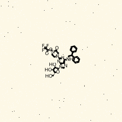 O=C1CN(c2nc(NCC(c3ccccc3)c3ccccc3)c3ncn([C@@H]4O[C@H](CO)[C@@H](O)[C@@H]4O)c3n2)CCN1OC(=O)C(F)(F)F